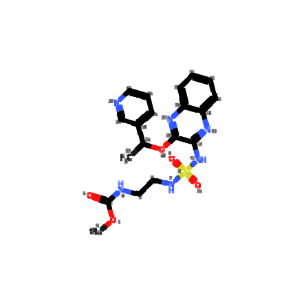 CC(C)(C)OC(=O)NCCNS(=O)(=O)Nc1nc2ccccc2nc1OC(c1cccnc1)C(F)(F)F